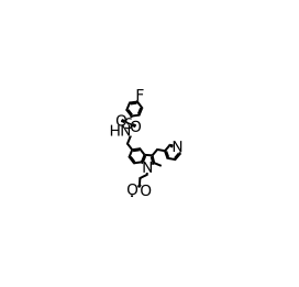 COC(=O)CCn1c(C)c(Cc2cccnc2)c2cc(CCNS(=O)(=O)c3ccc(F)cc3)ccc21